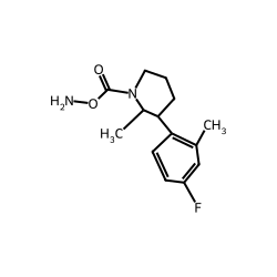 Cc1cc(F)ccc1C1CCCN(C(=O)ON)C1C